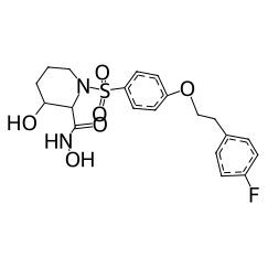 O=C(NO)C1C(O)CCCN1S(=O)(=O)c1ccc(OCCc2ccc(F)cc2)cc1